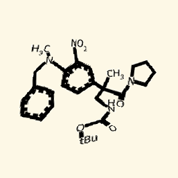 CN(Cc1ccccc1)c1ccc(C(C)(CNC(=O)OC(C)(C)C)C(=O)N2CCCC2)cc1[N+](=O)[O-]